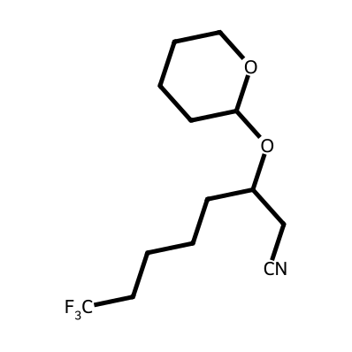 N#CCC(CCCCC(F)(F)F)OC1CCCCO1